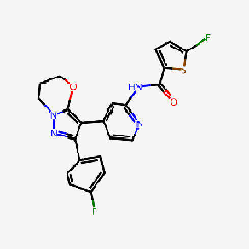 O=C(Nc1cc(-c2c(-c3ccc(F)cc3)nn3c2OCCC3)ccn1)c1ccc(F)s1